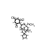 CC[Si](CC)(CC)OC(CNCC1(F)CCCC1)c1c(Cl)cc(Cl)cc1Cl